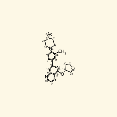 CC(=O)N1CCN(c2ccc(-c3cc4nccnc4c(O[C@@H]4CCOC4)n3)cc2C)CC1